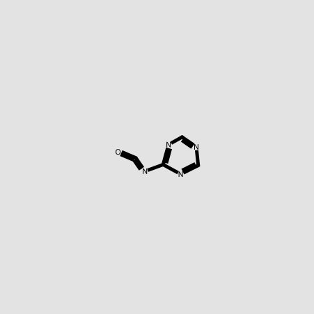 O=C=Nc1ncncn1